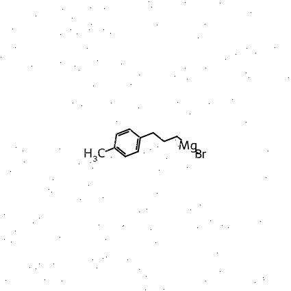 Cc1ccc(CC[CH2][Mg][Br])cc1